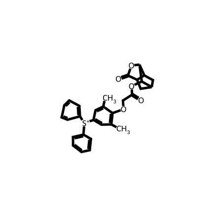 Cc1cc([S+](c2ccccc2)c2ccccc2)cc(C)c1OCC(=O)OC1C2CC3C(=O)OC1C3C2